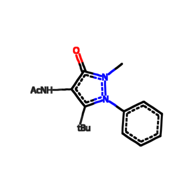 CC(=O)Nc1c(C(C)(C)C)n(-c2ccccc2)n(C)c1=O